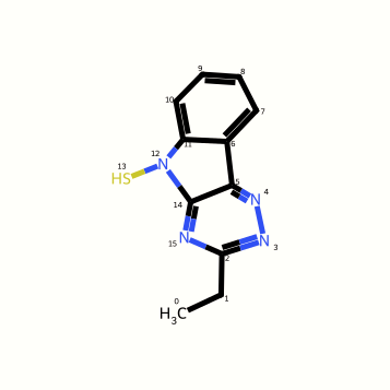 CCc1nnc2c3ccccc3n(S)c2n1